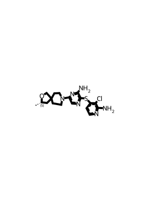 C[C@H]1CC2(CCN(c3cnc(Sc4ccnc(N)c4Cl)c(N)n3)CC2)CO1